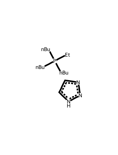 CCCC[P](CC)(CCCC)CCCC.c1c[nH]nn1